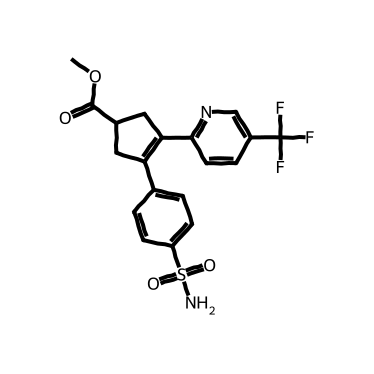 COC(=O)C1CC(c2ccc(S(N)(=O)=O)cc2)=C(c2ccc(C(F)(F)F)cn2)C1